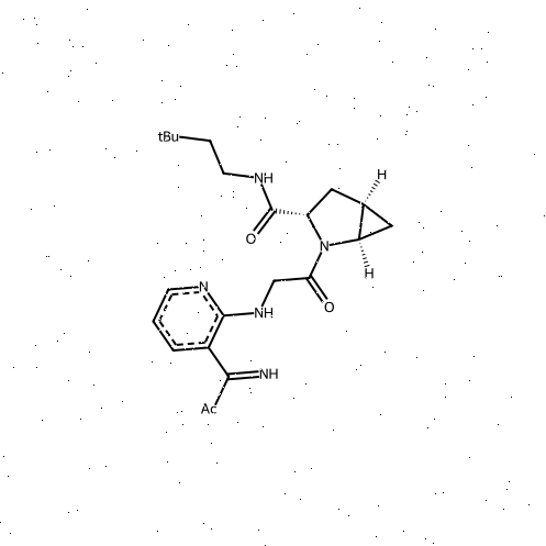 CC(=O)C(=N)c1cccnc1NCC(=O)N1[C@@H]2C[C@@H]2C[C@H]1C(=O)NCCC(C)(C)C